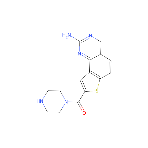 Nc1ncc2ccc3sc(C(=O)N4CCNCC4)cc3c2n1